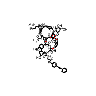 CN[C@H](CC(C)C)C(=O)N[C@H]1C(=O)N[C@@H](CC(N)=O)C(=O)NC2C(=O)N[C@H]3C(=O)N[C@H](C(=O)NC(C(=O)NCC(=O)Nc4ccc(C#Cc5ccccc5)cc4)c4cc(O)cc(O)c4-c4cc3ccc4O)[C@H](O)c3ccc(c(Cl)c3)Oc3cc2cc(c3O[C@@H]2O[C@H](CO)[C@@H](O)[C@H](O)[C@H]2OC2C[C@](C)(N)[C@H](O)[C@H](C)O2)Oc2ccc(cc2Cl)[C@H]1O